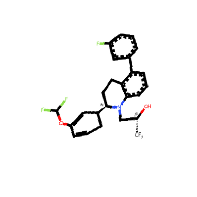 O[C@@H](CN1c2cccc(-c3cccc(F)c3)c2CC[C@@H]1C1C=C(OC(F)F)C=CC1)C(F)(F)F